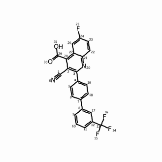 N#Cc1c(-c2ccc(-c3cccc(C(F)(F)F)c3)cc2)nc2ccc(F)cc2c1C(=O)O